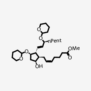 CCCCC[C@@H](/C=C/[C@@H]1[C@@H](C/C=C\CCCC(=O)OC)[C@@H](O)C[C@H]1OC1CCCCO1)OC1CCCCO1